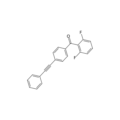 O=C(c1ccc(C#Cc2ccccc2)cc1)c1c(F)cccc1F